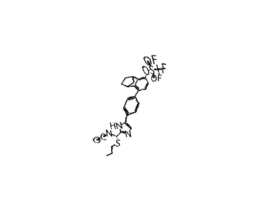 CCCS[C@H](N=C=O)c1ncc(-c2ccc(-c3ccc(OS(=O)(=O)C(F)(F)F)c4c3C3CCC4C3)cc2)[nH]1